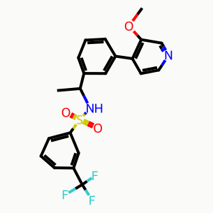 COc1cnccc1-c1cccc(C(C)NS(=O)(=O)c2cccc(C(F)(F)F)c2)c1